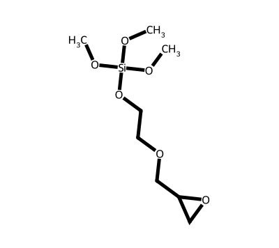 CO[Si](OC)(OC)OCCOCC1CO1